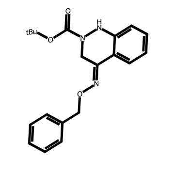 CC(C)(C)OC(=O)N1CC(=NOCc2ccccc2)c2ccccc2N1